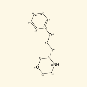 c1ccc(OCC[C@H]2COCCN2)cc1